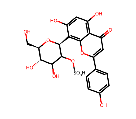 O=c1cc(-c2ccc(O)cc2)oc2c([C@@H]3O[C@H](CO)[C@@H](O)[C@H](O)C3OS(=O)(=O)O)c(O)cc(O)c12